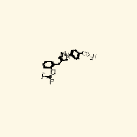 O=C(O)c1ccc(-n2cc(Cc3ccccc3OC(F)F)cn2)cc1